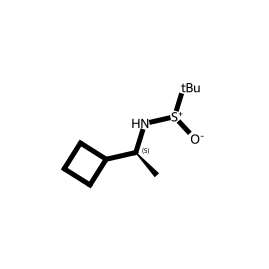 C[C@H](N[S+]([O-])C(C)(C)C)C1CCC1